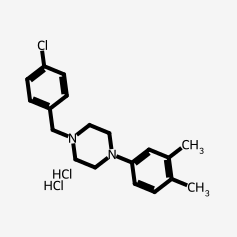 Cc1ccc(N2CCN(Cc3ccc(Cl)cc3)CC2)cc1C.Cl.Cl